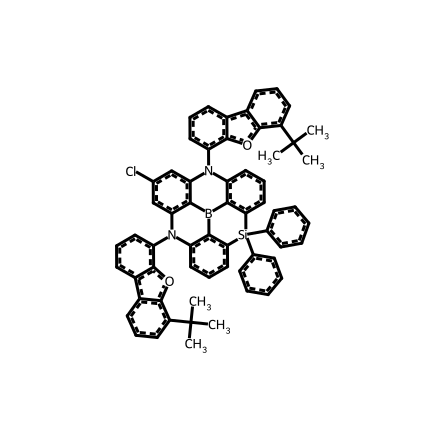 CC(C)(C)c1cccc2c1oc1c(N3c4cc(Cl)cc5c4B4c6c3cccc6[Si](c3ccccc3)(c3ccccc3)c3cccc(c34)N5c3cccc4c3oc3c(C(C)(C)C)cccc34)cccc12